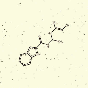 CC(NC(=O)c1cc2cc[c]cc2[nH]1)NC(N)=NC#N